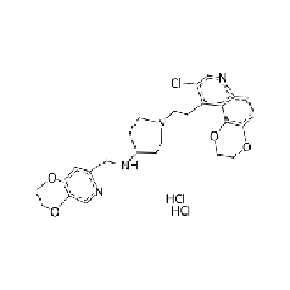 Cl.Cl.Clc1cnc2ccc3c(c2c1CCN1CCC(NCc2cc4c(cn2)OCCO4)CC1)OCCO3